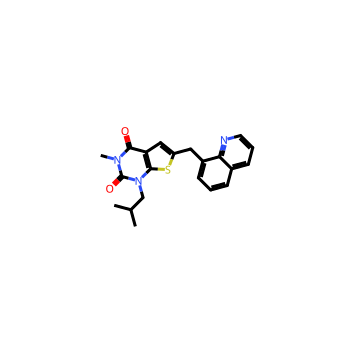 CC(C)Cn1c(=O)n(C)c(=O)c2cc(Cc3cccc4cccnc34)sc21